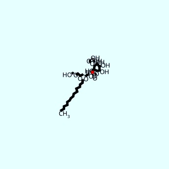 CCCCCCCCCCCCCCCC(=O)O[C@H](CCCOCO)COP(=O)(O)OC1C(O)[C@H](OP(=O)(O)O)[C@H](O)C(O)[C@@H]1O